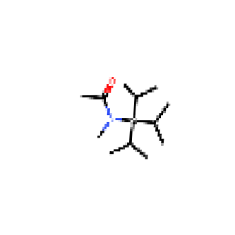 CC(=O)N(C)[Si](C(C)C)(C(C)C)C(C)C